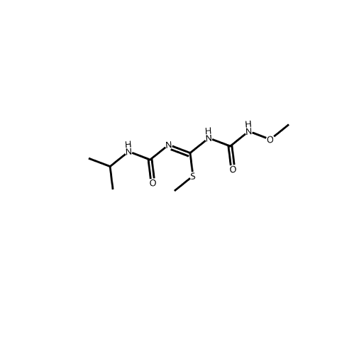 CONC(=O)NC(=NC(=O)NC(C)C)SC